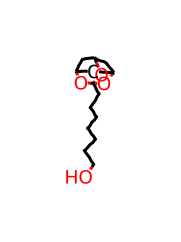 OCCCCCCCC12OC3CC(CC(C3)O1)O2